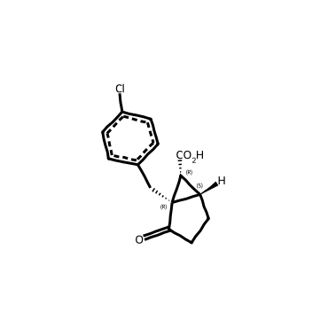 O=C(O)[C@@H]1[C@@H]2CCC(=O)[C@@]12Cc1ccc(Cl)cc1